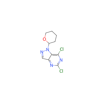 Clc1nc(Cl)c2c(cnn2C2CCCCO2)n1